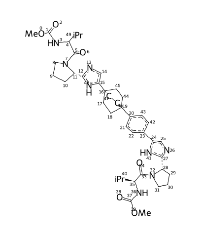 COC(=O)NC(C(=O)N1CCC[C@H]1c1ncc(C23CCC(c4ccc(-c5cnc([C@@H]6CCCN6C(=O)[C@@H](NC(=O)OC)C(C)C)[nH]5)cc4)(CC2)CC3)[nH]1)C(C)C